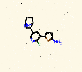 Nc1ccc(-c2cc(C3CC4CCC3N4)cnc2F)s1